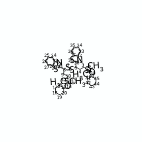 C[Si](C)(CCC(SSC(CC[Si](C)(C)OC1CCCCC1)c1nc2ccccc2s1)c1nc2ccccc2s1)OC1CCCCC1